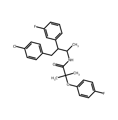 CC(NC(=O)C(C)(C)Oc1ccc(F)cc1)C(Cc1ccc(Cl)cc1)c1cccc(F)c1